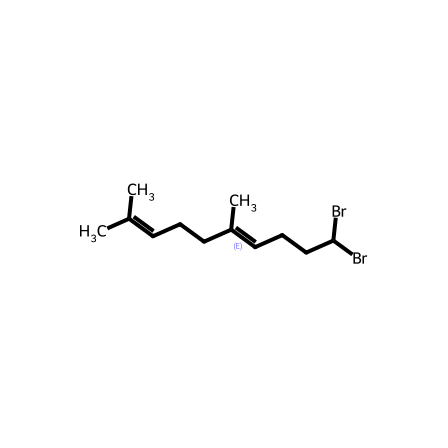 CC(C)=CCC/C(C)=C/CCC(Br)Br